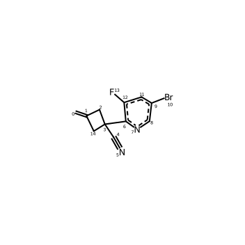 C=C1CC(C#N)(c2ncc(Br)cc2F)C1